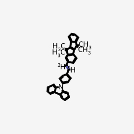 [2H]/C(=C(/[2H])c1ccc2c(c1)C(C)(C)C1=C2C(C)(C)c2ccccc21)c1ccc(-n2c3ccccc3c3ccccc32)cc1